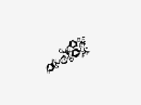 O=C(NCc1ccc(OC(F)(F)F)cc1)[C@H]1CN(c2nc3ccncc3s2)CCN1S(=O)(=O)c1ccc(OC(F)(F)F)cc1